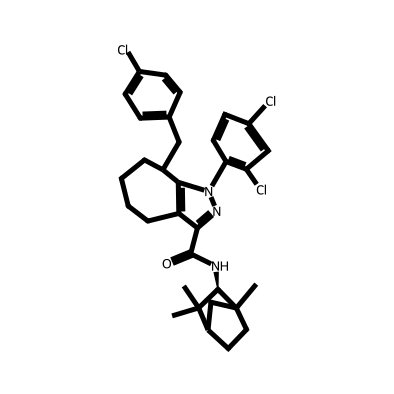 CC12CCC(C1)C(C)(C)[C@H]2NC(=O)c1nn(-c2ccc(Cl)cc2Cl)c2c1CCCCC2Cc1ccc(Cl)cc1